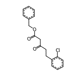 O=C(CCc1ccccc1Cl)CC(=O)OCc1ccccc1